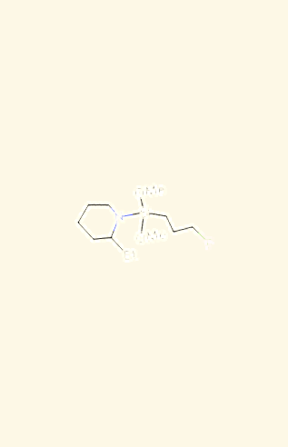 CCC1CCCCN1[Si](CCCF)(OC)OC